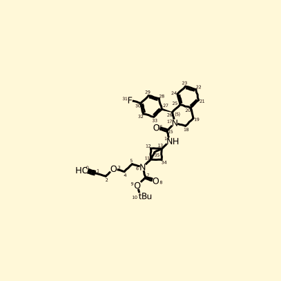 C#CCOCCN(C(=O)OC(C)(C)C)C12CC(NC(=O)N3CCc4ccccc4[C@@H]3c3ccc(F)cc3)(C1)C2